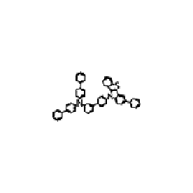 c1ccc(-c2ccc(N(c3ccc(-c4ccccc4)cc3)c3cccc(-c4ccc(-n5c6ccc(-c7ccccc7)cc6c6sc7ccccc7c65)cc4)c3)cc2)cc1